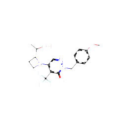 COc1ccc(Cn2ncc(N3CC[C@H]3C(C)O)c(C(F)(F)F)c2=O)cc1